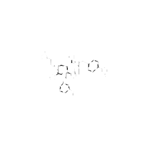 COCCn1cc(C(=O)NCc2ccc(OC)cc2)c(=O)n(-c2cccc(Cl)c2)c1=O